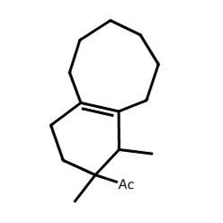 CC(=O)C1(C)CCC2=C(CCCCCC2)C1C